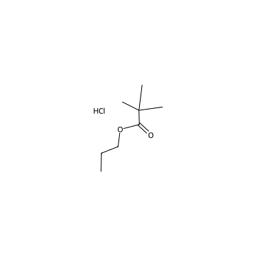 CCCOC(=O)C(C)(C)C.Cl